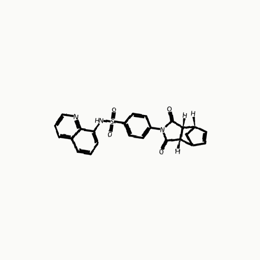 O=C1[C@@H]2[C@@H]3C=CC(C3)[C@@H]2C(=O)N1c1ccc(S(=O)(=O)Nc2cccc3cccnc23)cc1